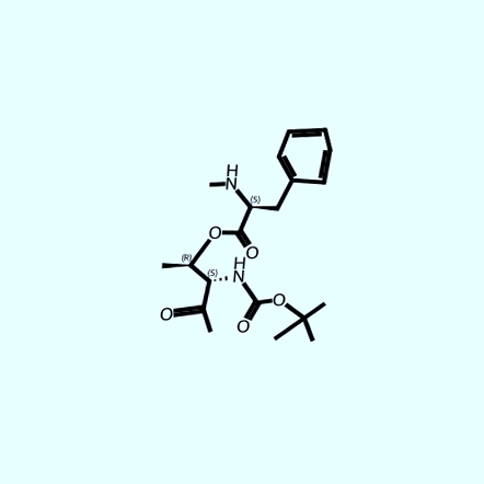 CN[C@@H](Cc1ccccc1)C(=O)O[C@H](C)[C@H](NC(=O)OC(C)(C)C)C(C)=O